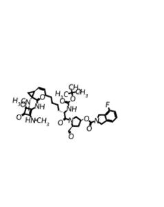 CNc1c(NC(=O)[C@@]2(NC)C[C@H]2/C=C\CCCCC[C@H](NC(=O)OC(C)(C)C)C(=O)N2C[C@H](OC(=O)N3Cc4cccc(F)c4C3)C[C@H]2C=O)c(=O)c1=O